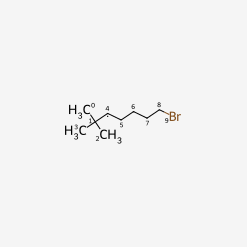 CC(C)(C)[CH]CCCCBr